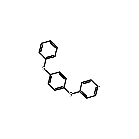 [c]1ccc(Sc2ccc(Sc3ccccc3)cc2)cc1